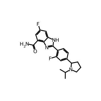 CC(C)N1CCCC1c1ccc(-c2nc3c(C(N)=O)cc(F)cc3[nH]2)c(F)c1